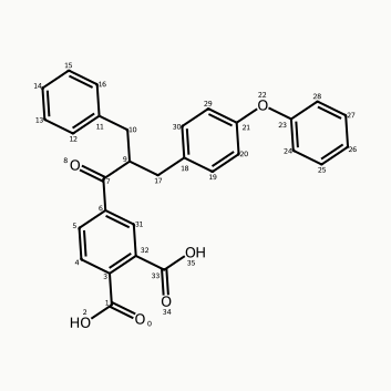 O=C(O)c1ccc(C(=O)C(Cc2ccccc2)Cc2ccc(Oc3ccccc3)cc2)cc1C(=O)O